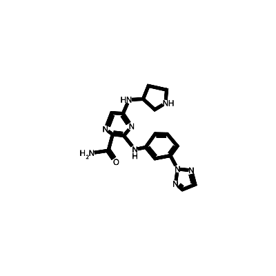 NC(=O)c1ncc(NC2CCNC2)nc1Nc1cccc(-n2nccn2)c1